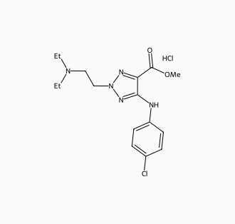 CCN(CC)CCn1nc(Nc2ccc(Cl)cc2)c(C(=O)OC)n1.Cl